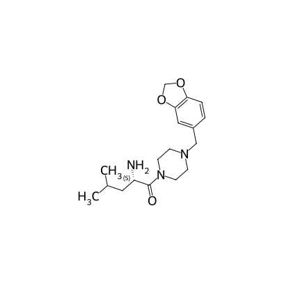 CC(C)C[C@H](N)C(=O)N1CCN(Cc2ccc3c(c2)OCO3)CC1